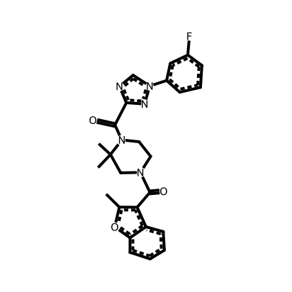 Cc1oc2ccccc2c1C(=O)N1CCN(C(=O)c2ncn(-c3cccc(F)c3)n2)C(C)(C)C1